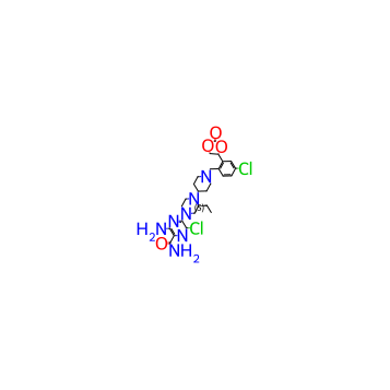 CC[C@H]1CN(c2nc(N)c(C(N)=O)nc2Cl)CCN1C1CCN(Cc2ccc(Cl)cc2C2COC(=O)O2)CC1